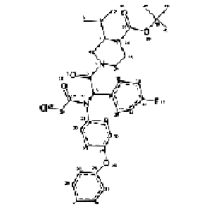 CC(C)C1CN(C(=O)[C@@H](c2ccc(F)cc2)N(C(=O)CCl)c2ccc(Oc3ccccc3)cc2)CCN1C(=O)OC(C)(C)C